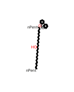 CCCCCC=CCC=CCCCCCCCCC(O)CCCCCCCCC=CC[C@@H](CCCCC)O[Si](c1ccccc1)(c1ccccc1)C(C)(C)C